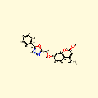 Cc1cc(=O)oc2cc(OCc3nnc(-c4ccccc4)o3)ccc12